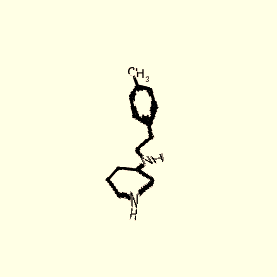 Cc1ccc(CCNC2CCCNC2)cc1